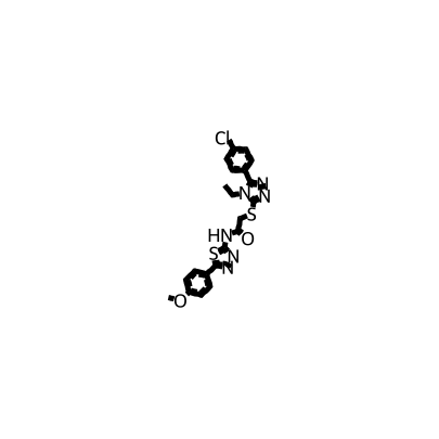 CCn1c(SCC(=O)Nc2nnc(-c3ccc(OC)cc3)s2)nnc1-c1ccc(Cl)cc1